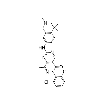 Cc1nn(-c2c(Cl)cccc2Cl)c(=O)c2cnc(Nc3ccc4c(c3)CN(C)CC4(C)C)nc12